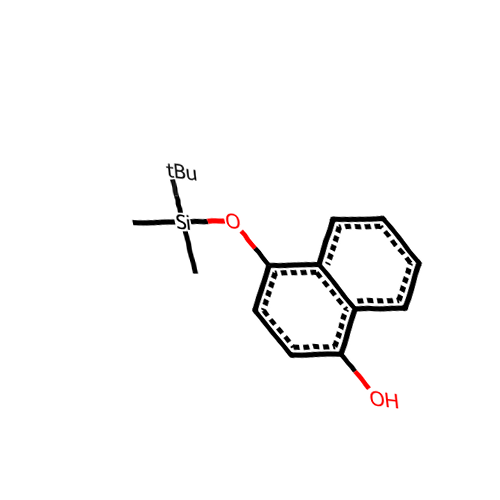 CC(C)(C)[Si](C)(C)Oc1ccc(O)c2ccccc12